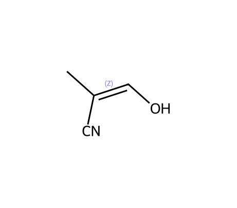 C/C(C#N)=C/O